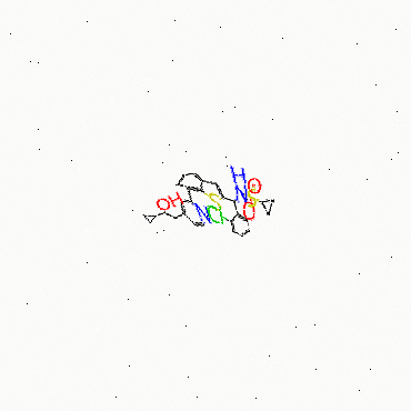 O=S(=O)(NC(c1cc2cccc(-c3cc(CC(O)C4CC4)ccn3)c2s1)c1ccccc1Cl)C1CC1